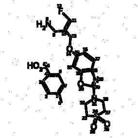 Cc1ccc(S(=O)(=O)O)cc1.NC/C(=C\F)COc1ccc2nc(N3CCS(=O)(=O)CC3)oc2c1